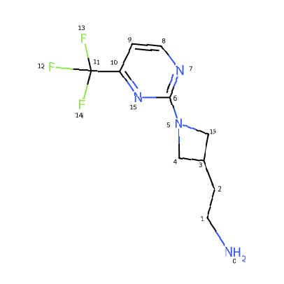 NCCC1CN(c2nccc(C(F)(F)F)n2)C1